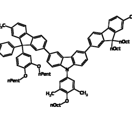 CCCCCCCCOc1c(C)cc(-n2c3ccc(-c4ccc5c(c4)C(CCCCCCCC)(CCCCCCCC)c4cc(C)ccc4-5)cc3c3cc(-c4ccc5c(c4)C(c4ccccc4)(c4ccc(OCCCCC)c(OCCCCC)c4)c4cc(C)ccc4-5)ccc32)cc1C